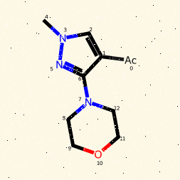 CC(=O)c1cn(C)nc1N1CCOCC1